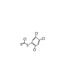 S=C(Cl)Sc1cc(Cl)c(Cl)cc1Cl